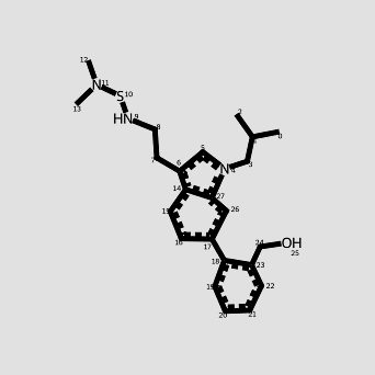 CC(C)Cn1cc(CCNSN(C)C)c2ccc(-c3ccccc3CO)cc21